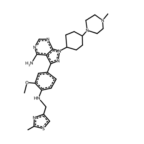 COc1cc(-c2nn(C3CCC(N4CCN(C)CC4)CC3)c3ncnc(N)c23)ccc1NCc1csc(C)n1